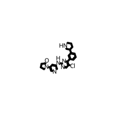 O=C1CCCN1c1cncc(Nc2ncc(Cl)c(-c3cccc(C4CCCNC4)c3)n2)c1